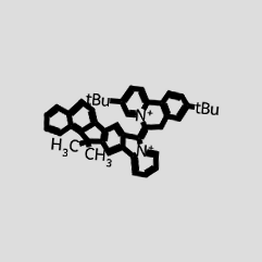 CC(C)(C)c1ccc2c(c1)C/C(=C1/c3cc4c(cc3-c3cccc[n+]31)C(C)(C)c1c-4ccc3ccccc13)[n+]1cc(C(C)(C)C)ccc1-2